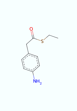 CCSC(=O)Cc1ccc(N)cc1